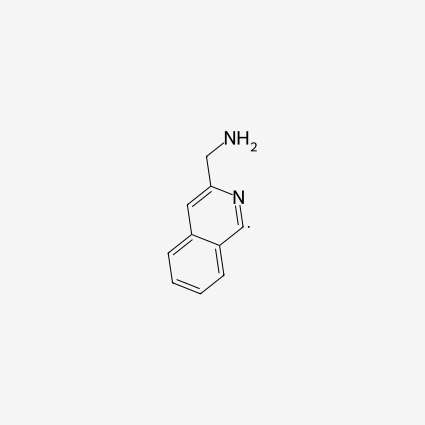 NCc1cc2ccccc2[c]n1